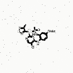 COc1ccc(Nc2nc(Nc3nonc3C)ncc2Cl)c(NS(C)(=O)=O)c1